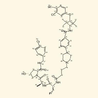 CC(C)C[C@H](NC(=O)CCCN1CCN(c2ccc(C(=O)NC3C(C)(C)C(Oc4ccc(C#N)c(Cl)c4)C3(C)C)cn2)CC1)C(=O)N[C@@H](C)C(=O)N1C[C@H](O)C[C@H]1C(=O)NCc1ccc(Cl)cc1